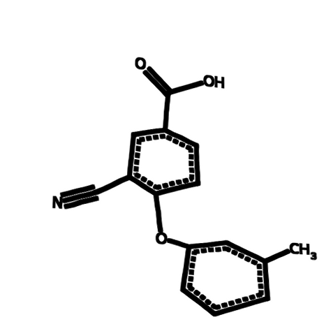 Cc1cccc(Oc2ccc(C(=O)O)cc2C#N)c1